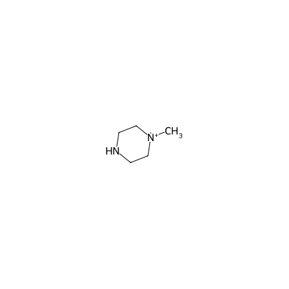 C[N+]1CCNCC1